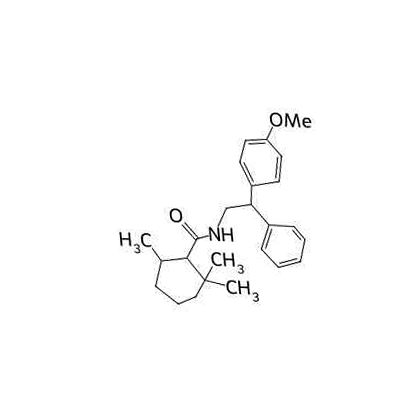 COc1ccc(C(CNC(=O)C2C(C)CCCC2(C)C)c2ccccc2)cc1